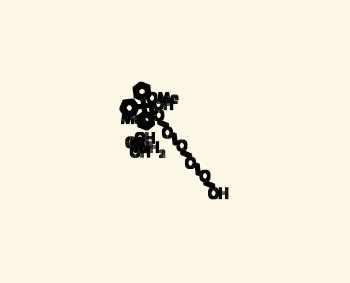 COC(OCCOCCOCCOCCOCCO)C(O)(OC)C(c1ccccc1)(c1ccccc1)c1ccccc1.NP(=O)(O)O